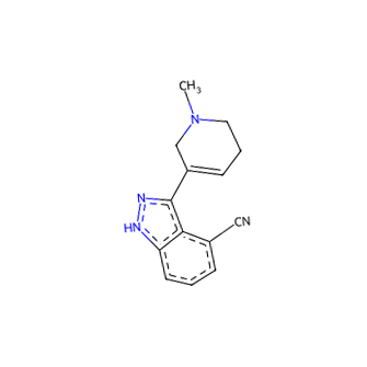 CN1CCC=C(c2n[nH]c3cccc(C#N)c23)C1